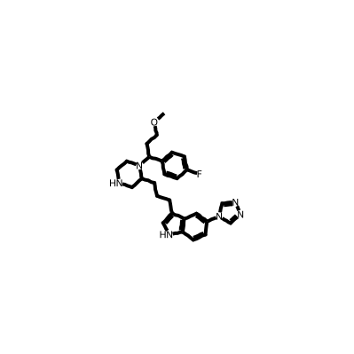 COCCC(c1ccc(F)cc1)N1CCNCC1CCCc1c[nH]c2ccc(-n3cnnc3)cc12